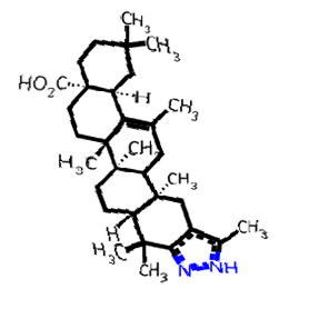 CC1=C2[C@@H]3CC(C)(C)CC[C@]3(C(=O)O)CC[C@@]2(C)[C@]2(C)CC[C@H]3C(C)(C)c4n[nH]c(C)c4C[C@]3(C)C2C1